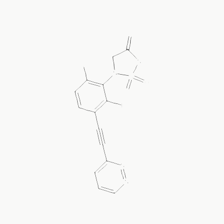 O=C1CN(c2c(O)ccc(C#Cc3cccnn3)c2F)S(=O)(=O)N1